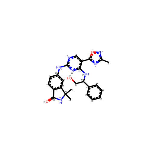 Cc1noc(-c2cnc(Nc3ccc4c(c3)C(C)(C)NC4=O)nc2NC(CO)c2ccccc2)n1